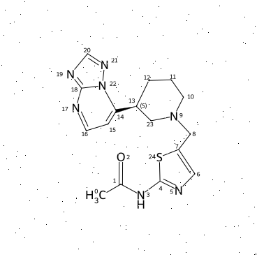 CC(=O)Nc1ncc(CN2CCC[C@H](c3ccnc4ncnn34)C2)s1